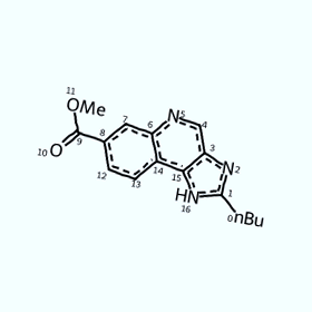 CCCCc1nc2cnc3cc(C(=O)OC)ccc3c2[nH]1